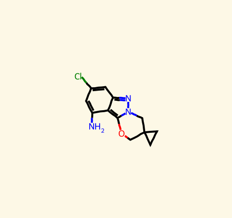 Nc1cc(Cl)cc2nn3c(c12)OCC1(CC1)C3